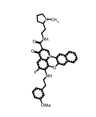 COc1cccc(CCNc2c(F)cc3c(=O)c(C(=O)NCCC4CCCN4C)cn4c3c2Oc2cc3ccccc3cc2-4)c1